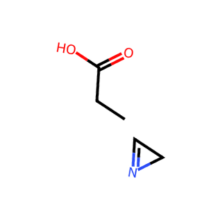 C1=NC1.CCC(=O)O